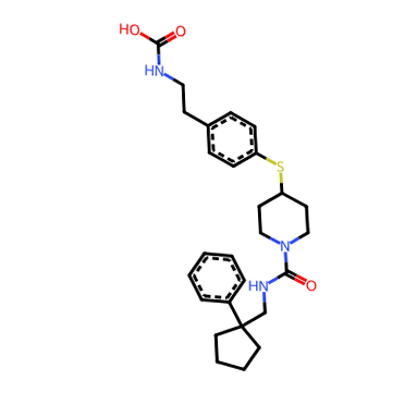 O=C(O)NCCc1ccc(SC2CCN(C(=O)NCC3(c4ccccc4)CCCC3)CC2)cc1